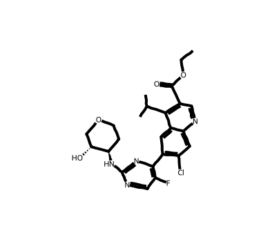 CCOC(=O)c1cnc2cc(Cl)c(-c3nc(N[C@@H]4CCOC[C@H]4O)ncc3F)cc2c1C(C)C